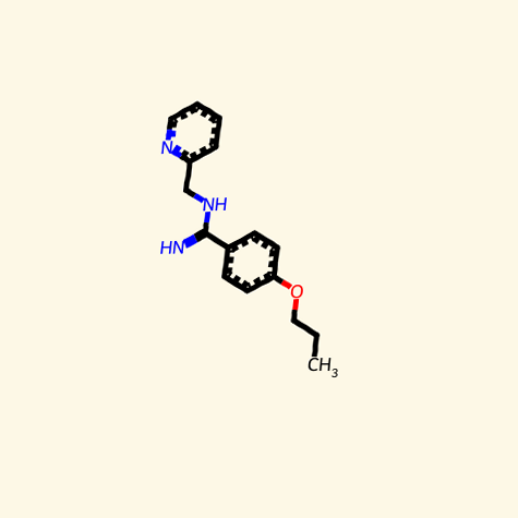 CCCOc1ccc(C(=N)NCc2ccccn2)cc1